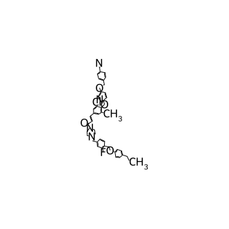 CCCc1ccc(OCc2ccc(CN3CCN(C(=O)/C=C/c4cc(C)c(Oc5ccc(OCc6ccc(C#N)cc6)cn5)c(Cl)c4)CC3)cc2F)cc1